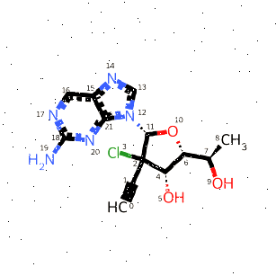 C#CC1(Cl)[C@@H](O)[C@@H]([C@@H](C)O)O[C@H]1n1cnc2cnc(N)nc21